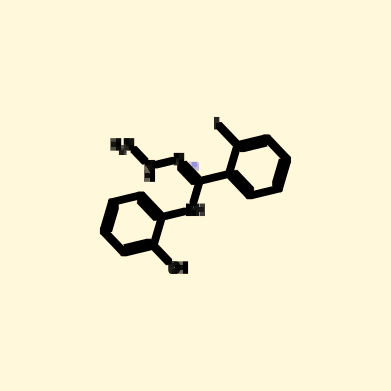 NN/N=C(\Nc1ccccc1O)c1ccccc1I